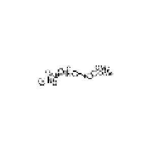 COc1cc2c(cc1OC)CN(CCc1ccc(NC(=O)c3cccc(C=c4[nH]c(=O)c(=Cc5ccco5)n(C)c4=O)c3)cc1)CC2